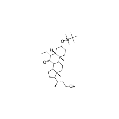 CC[C@H]1C(=O)C2C3CC[C@H]([C@H](C)CCO)[C@@]3(C)CCC2[C@@]2(C)CC[C@@H](O[Si](C)(C)C(C)(C)C)C[C@@H]12